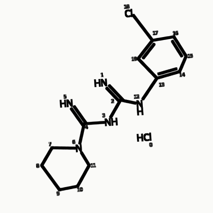 Cl.N=C(NC(=N)N1CCCCC1)Nc1cccc(Cl)c1